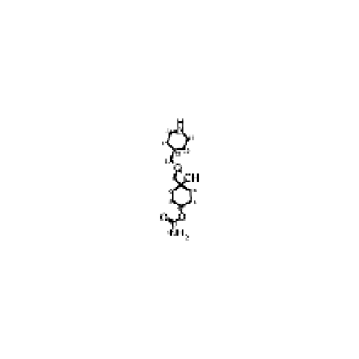 NC(=O)OC1CCC(O)(COCC2CCNCC2)CC1